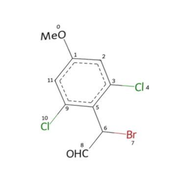 COc1cc(Cl)c(C(Br)C=O)c(Cl)c1